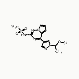 CCOC(C)n1cc(-c2nc(NS(C)(=O)=O)nn3cccc23)cn1